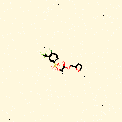 CC(OS(=O)(=O)c1ccc(Cl)c(C(F)(F)F)c1)C(=O)OCC1CCCO1